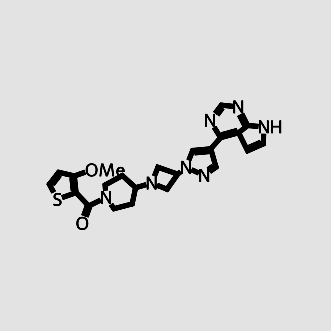 COc1ccsc1C(=O)N1CCC(N2CC(n3cc(-c4ncnc5[nH]ccc45)cn3)C2)CC1